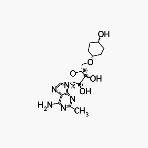 Cc1nc(N)c2ncn([C@@H]3O[C@H](CO[C@H]4CC[C@H](O)CC4)[C@@H](O)[C@H]3O)c2n1